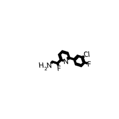 NCC(F)c1cccc(-c2ccc(F)c(Cl)c2)n1